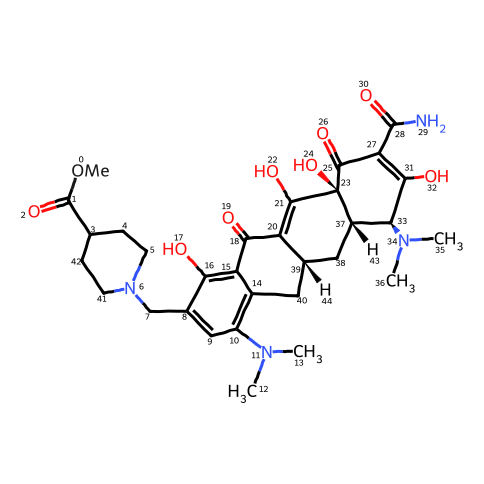 COC(=O)C1CCN(Cc2cc(N(C)C)c3c(c2O)C(=O)C2=C(O)[C@]4(O)C(=O)C(C(N)=O)=C(O)[C@@H](N(C)C)[C@@H]4C[C@@H]2C3)CC1